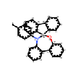 Cc1ccc(N2c3ccccc3-c3ccccc3O[Si]23c2ccccc2-c2ccccc23)cc1